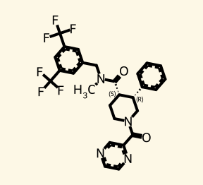 CN(Cc1cc(C(F)(F)F)cc(C(F)(F)F)c1)C(=O)[C@H]1CCN(C(=O)c2cnccn2)C[C@H]1c1ccccc1